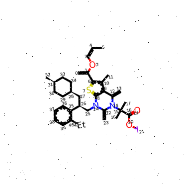 C=C(O/C=C\C)c1sc2c(c1C)C(=C)N(C(C)(C)C(=O)OI)C(=C)N2C[C@H](C[C@H]1CC[C@@H](C)CC1)c1ccccc1CC